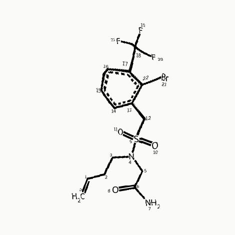 C=CCCN(CC(N)=O)S(=O)(=O)Cc1cccc(C(F)(F)F)c1Br